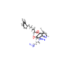 COc1cc(NC(C)CCCN)c2nccc(C)c2c1OCCCCCCc1ccccc1